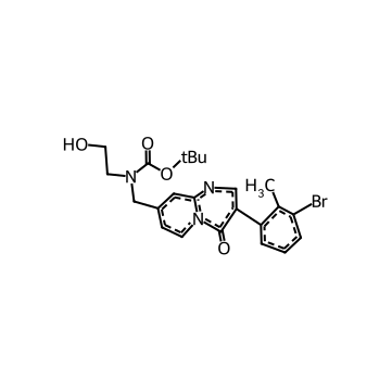 Cc1c(Br)cccc1-c1cnc2cc(CN(CCO)C(=O)OC(C)(C)C)ccn2c1=O